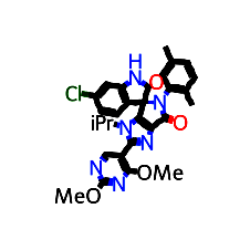 COc1ncc(-c2nc3c(n2C(C)C)[C@]2(C(=O)Nc4cc(Cl)ccc42)N(c2cc(C)ccc2C)C3=O)c(OC)n1